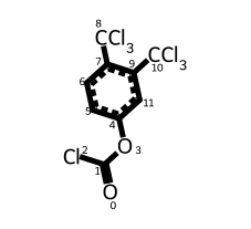 O=C(Cl)Oc1ccc(C(Cl)(Cl)Cl)c(C(Cl)(Cl)Cl)c1